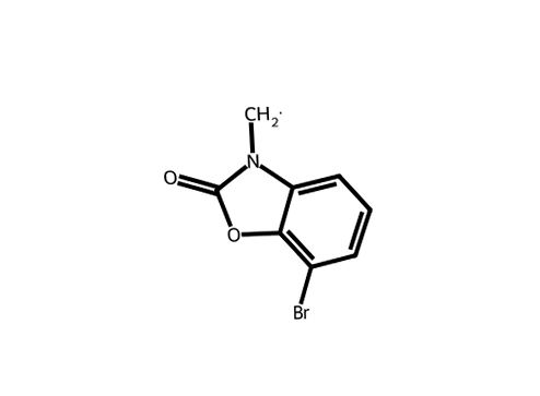 [CH2]n1c(=O)oc2c(Br)cccc21